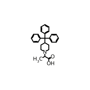 CC(C(=O)O)N1CCC(C(c2ccccc2)(c2ccccc2)c2ccccc2)CC1